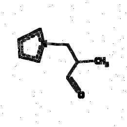 CC(C=O)Cn1cccc1